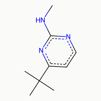 CNc1nccc(C(C)(C)C)n1